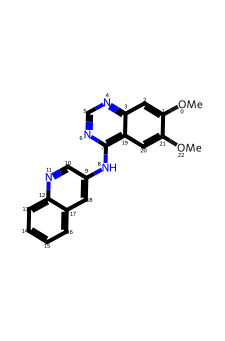 COc1cc2ncnc(Nc3cnc4ccccc4c3)c2cc1OC